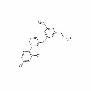 COc1cc(CC(=O)O)cc(Oc2cccc(-c3ccc(Cl)cc3Cl)c2)c1